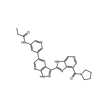 CCC(=O)Nc1cncc(-c2cnc3[nH]nc(-c4nc5c(C(=O)N6CCCC6)cncc5[nH]4)c3c2)c1